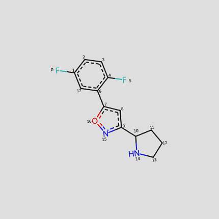 Fc1ccc(F)c(-c2cc(C3CCCN3)no2)c1